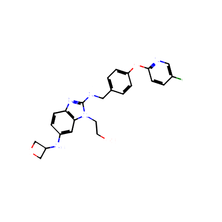 OCCn1c(NCc2ccc(Oc3ccc(Cl)cn3)cc2)nc2ccc(NC3COC3)cc21